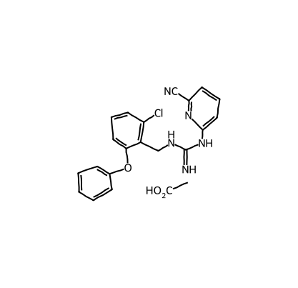 CC(=O)O.N#Cc1cccc(NC(=N)NCc2c(Cl)cccc2Oc2ccccc2)n1